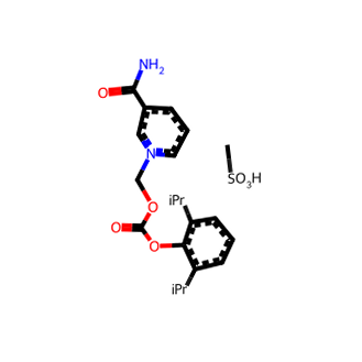 CC(C)c1cccc(C(C)C)c1OC(=O)OC[n+]1cccc(C(N)=O)c1.CS(=O)(=O)O